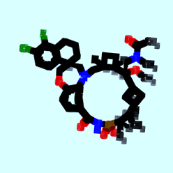 CO[C@@]1(CN(C)C(C)=O)C2=C[C@@H](C2)[C@H](C)[C@@H](C)S(=O)(=O)NC(=O)c2ccc3c(c2)N(C[C@@H]2CC[C@H]21)C[C@@]1(CCCc2c1ccc(Cl)c2F)CO3